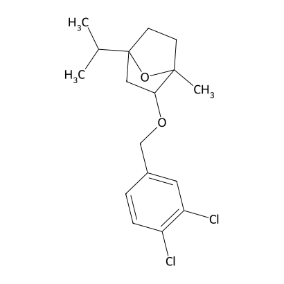 CC(C)C12CCC(C)(O1)C(OCc1ccc(Cl)c(Cl)c1)C2